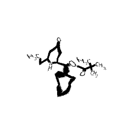 CCC1CC(=O)CC(C(OC(=O)C(C)(C)C)c2ccccc2)N1